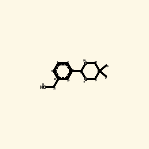 CC1(C)COC(c2cccc(CO)c2)OC1